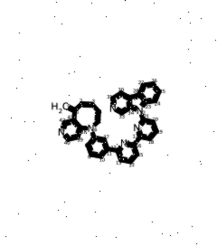 C=C1/C=C\C=CN(c2cccc(-c3cccc(-c4cccc(-n5c6ccccc6c6ccncc65)n4)n3)c2)c2ccncc21